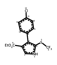 CCOC(=O)c1c[nH]c(SC(F)(F)F)c1-c1ccc(Cl)cc1